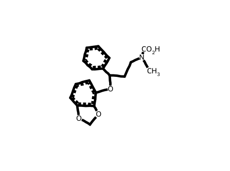 CN(CCC(Oc1cccc2c1OCO2)c1ccccc1)C(=O)O